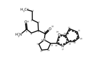 CCCCC(CC(N)=O)C(=O)N1CCCC1c1nc2ccccc2o1